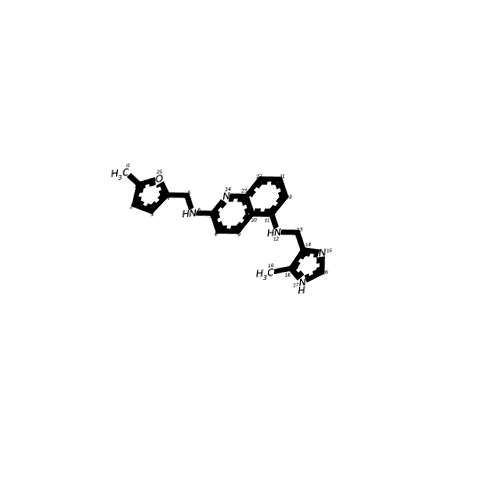 Cc1ccc(CNc2ccc3c(NCc4nc[nH]c4C)cccc3n2)o1